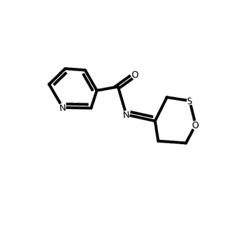 O=C(N=C1CCOSC1)c1cccnc1